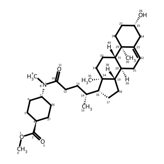 COC(=O)[C@H]1CC[C@H](N(C)C(=O)CC[C@@H](C)[C@H]2CC[C@H]3[C@@H]4CC=C5C[C@@H](O)CC[C@]5(C)[C@H]4CC[C@]23C)CC1